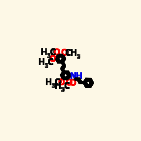 COc1cc(C=Cc2cc(OC)c(OC)c(OC)c2)cc(NC(=O)C=Cc2ccccc2)c1OC